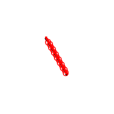 C=C(C)CCCOCCOCCOCCOCCOCCOCCOCCOCCOCCOCCOCCOCCOCC(=C)C